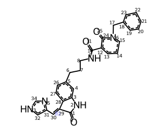 O=C1Nc2cc(CCCNC(=O)c3cccn(Cc4ccccc4)c3=O)ccc2/C1=C\c1c[nH]cn1